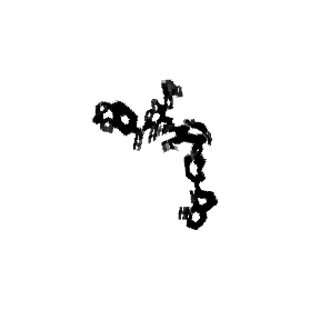 CCc1c(NCC(NC(=O)Nc2ccc3c(c2)OCO3)C(=O)OC(C)(C)C)ncnc1N1CCC(c2ccc3c(n2)NCCC3)CC1